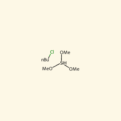 CCCCCl.CO[SiH](OC)OC